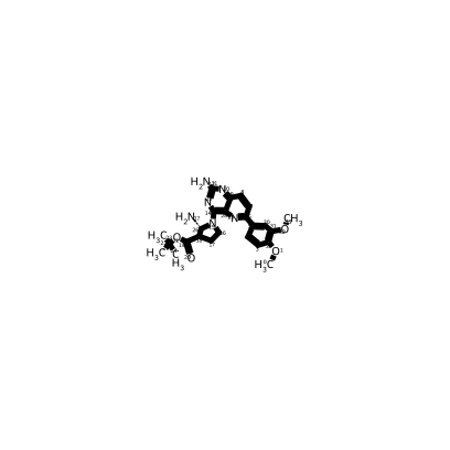 COc1ccc(-c2ccc3nc(N)nc(N4CCC(C(=O)OC(C)(C)C)[C@@H]4N)c3n2)cc1OC